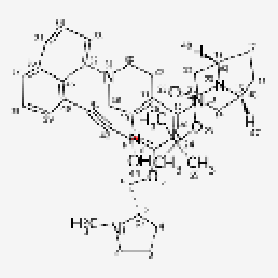 CN1CCC[C@H]1COc1nc2c(c(N3C[C@H]4CC[C@@H](C3)N4C(=O)OC(C)(C)C)n1)CCN(c1cccc3cccc(C#CCO)c13)C2